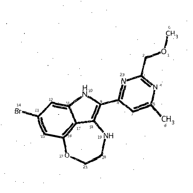 COCc1nc(C)cc(-c2[nH]c3cc(Br)cc4c3c2NCCO4)n1